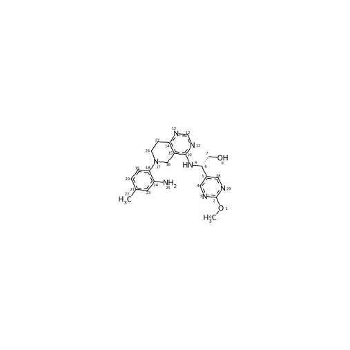 COc1ncc([C@@H](CO)Nc2ncnc3c2CN(c2ccc(C)cc2N)CC3)cn1